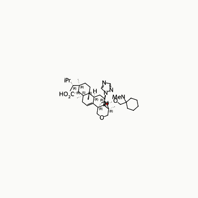 CNC1(CO[C@H]2[C@H](n3cncn3)C[C@@]34COC[C@@]2(C)[C@@H]3CC[C@H]2C4=CC[C@@]3(C)[C@H](C(=O)O)[C@@](C)([C@H](C)C(C)C)CC[C@]23C)CCCCC1